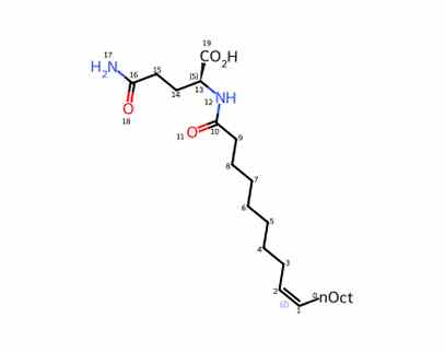 CCCCCCCC/C=C\CCCCCCCC(=O)N[C@@H](CCC(N)=O)C(=O)O